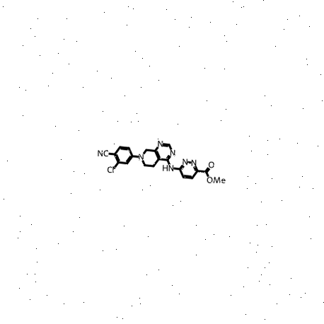 COC(=O)c1ccc(Nc2ncnc3c2CCN(c2ccc(C#N)c(Cl)c2)C3)nn1